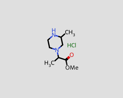 COC(=O)C(C)N1CCNC(C)C1.Cl